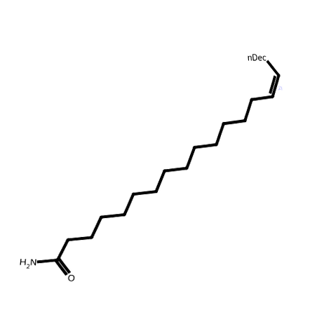 CCCCCCCCCC/C=C\CCCCCCCCCCCCCC(N)=O